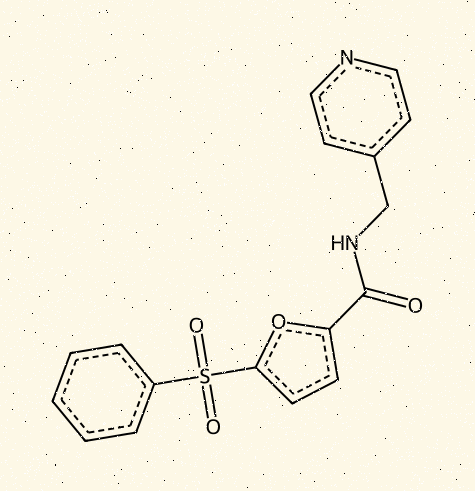 O=C(NCc1ccncc1)c1ccc(S(=O)(=O)c2ccccc2)o1